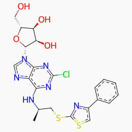 C[C@H](CSc1nc(-c2ccccc2)cs1)Nc1nc(Cl)nc2c1ncn2[C@@H]1O[C@H](CO)[C@@H](O)[C@H]1O